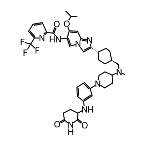 CC(C)Oc1cc2nc([C@H]3CC[C@H](CN(C)C4CCN(c5cccc(NC6CCC(=O)NC6=O)c5)CC4)CC3)cn2cc1NC(=O)c1cccc(C(F)(F)F)n1